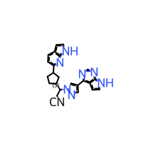 N#CCC([C@H]1CCC(c2ccc3cc[nH]c3n2)C1)n1cc(-c2ncnc3[nH]ccc23)cn1